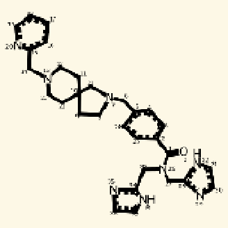 O=C(c1ccc(CN2CCC3(CCN(Cc4ccccn4)CC3)C2)cc1)N(Cc1ncc[nH]1)Cc1ncc[nH]1